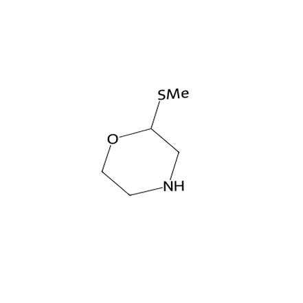 CSC1CNCCO1